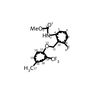 COC(=O)Nc1cccc(F)c1COc1ccc(C)cc1C(F)(F)F